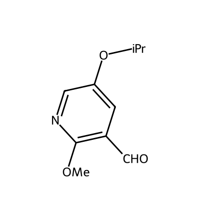 COc1ncc(OC(C)C)cc1C=O